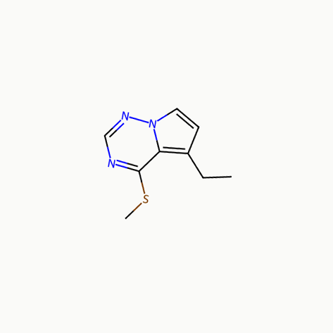 CCc1ccn2ncnc(SC)c12